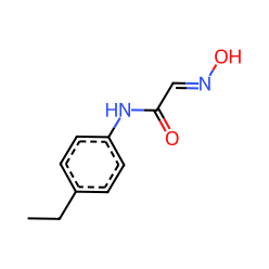 CCc1ccc(NC(=O)/C=N/O)cc1